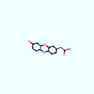 CCC(=O)Cc1ccc2nc3ccc(=O)cc-3oc2c1